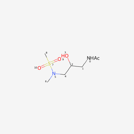 CC(=O)NCC(O)CN(C)S(C)(=O)=O